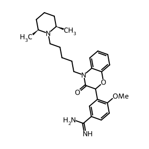 COc1ccc(C(=N)N)cc1C1Oc2ccccc2N(CCCCCN2[C@H](C)CCC[C@@H]2C)C1=O